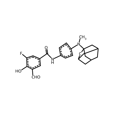 CN(c1ccc(NC(=O)c2cc(F)c(O)c(C=O)c2)cc1)C12CC3CC(CC(C3)C1)C2